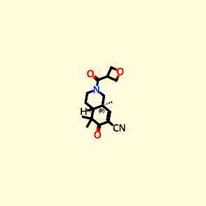 CC1(C)C(=O)C(C#N)=C[C@]2(C)CN(C(=O)C3COC3)CC[C@@H]12